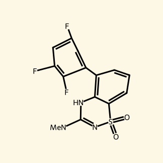 CNC1=NS(=O)(=O)c2cccc(-c3cc(F)cc(F)c3F)c2N1